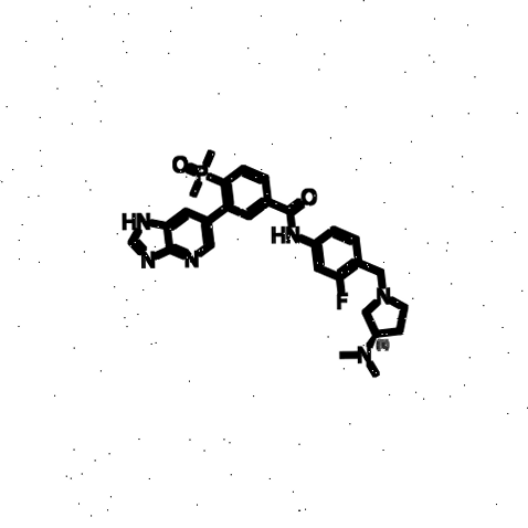 CN(C)[C@@H]1CCN(Cc2ccc(NC(=O)c3ccc(P(C)(C)=O)c(-c4cnc5nc[nH]c5c4)c3)cc2F)C1